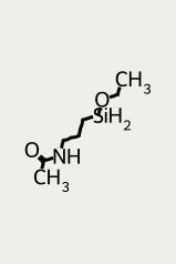 CCO[SiH2]CCCNC(C)=O